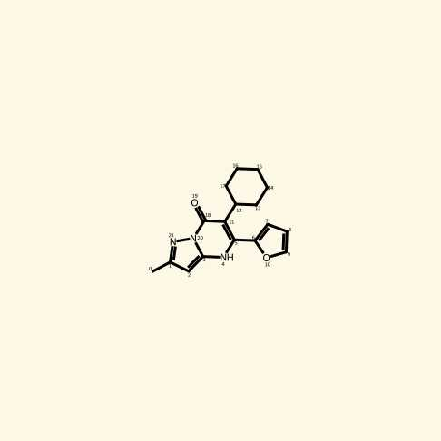 Cc1cc2[nH]c(-c3ccco3)c(C3CCCCC3)c(=O)n2n1